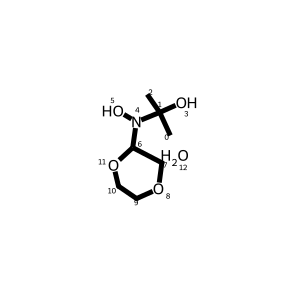 CC(C)(O)N(O)C1COCCO1.O